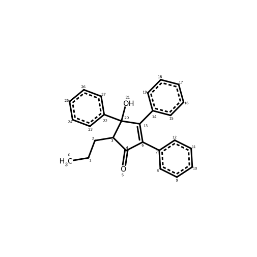 CCCC1C(=O)C(c2ccccc2)=C(c2ccccc2)C1(O)c1ccccc1